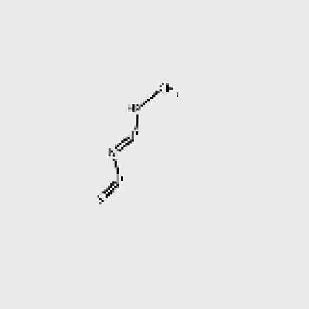 CP/P=N/P=S